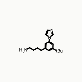 CC(C)(C)c1cc(CCCCN)cc(-n2ccnc2)c1